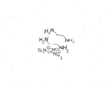 NCCN.NCCN.O=[N+]([O-])[Co+][N+](=O)[O-].O=[N+]([O-])[O-]